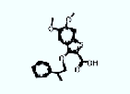 COc1cc2sc(C(=O)O)c(OCC(C)c3ccccc3)c2cc1OC